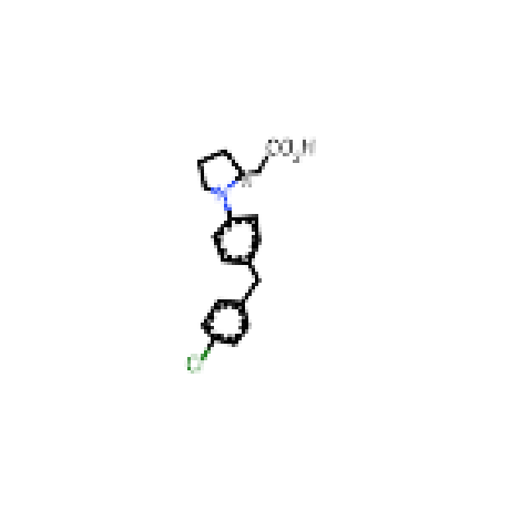 O=C(O)C[C@@H]1CCCN1c1ccc(Cc2ccc(Cl)cc2)cc1